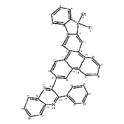 CC[Si]1(CC)c2ccccc2-c2cc3c4ccc(-c5nc6ccccc6nc5-c5ccccc5)cc4c4ccccc4c3cc21